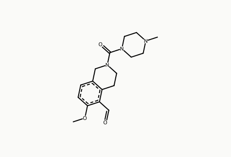 COc1ccc2c(c1C=O)CCN(C(=O)N1CCN(C)CC1)C2